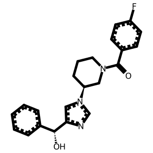 O=C(c1ccc(F)cc1)N1CCC[C@H](n2cnc([C@H](O)c3ccccc3)c2)C1